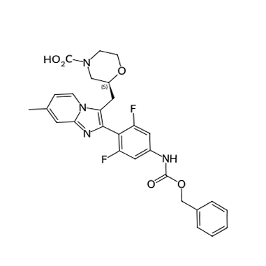 Cc1ccn2c(C[C@H]3CN(C(=O)O)CCO3)c(-c3c(F)cc(NC(=O)OCc4ccccc4)cc3F)nc2c1